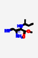 CCC(C)N/C(C(=O)OC)=C(/N)C=N